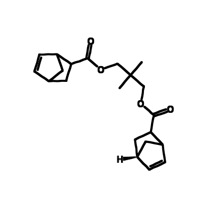 CC(C)(COC(=O)C1CC2C=CC1C2)COC(=O)C1C[C@H]2C=CC1C2